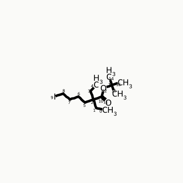 CCC(CC)(CCCCI)C(=O)OC(C)(C)C